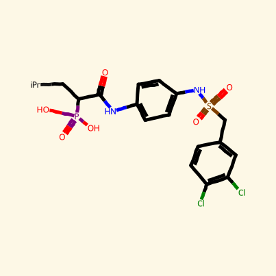 CC(C)CC(C(=O)Nc1ccc(NS(=O)(=O)Cc2ccc(Cl)c(Cl)c2)cc1)P(=O)(O)O